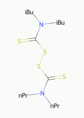 CCCN(CCC)C(=S)SSC(=S)N(C(C)CC)C(C)CC